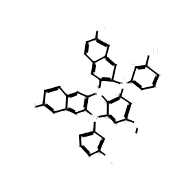 Cc1cccc(N2c3cc4cc(C(C)(C)C)ccc4cc3B3c4cc5ccc(C(C)(C)C)cc5cc4N(c4cccc(C)c4)c4cc(OC(F)(F)F)cc2c43)c1